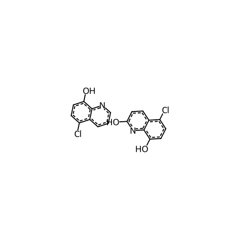 Oc1ccc(Cl)c2cccnc12.Oc1ccc2c(Cl)ccc(O)c2n1